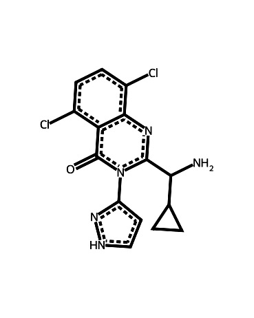 NC(c1nc2c(Cl)ccc(Cl)c2c(=O)n1-c1cc[nH]n1)C1CC1